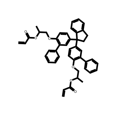 C=CC(=O)OC(C)COc1ccc(C2(c3ccc(OCC(C)OC(=O)C=C)c(-c4ccccc4)c3)CCc3ccccc32)cc1-c1ccccc1